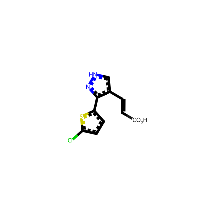 O=C(O)C=Cc1c[nH]nc1-c1ccc(Cl)s1